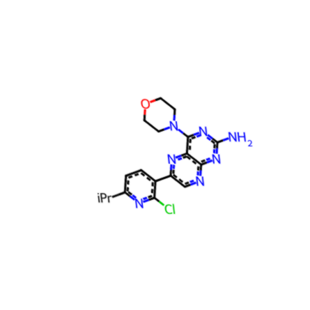 CC(C)c1ccc(-c2cnc3nc(N)nc(N4CCOCC4)c3n2)c(Cl)n1